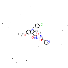 COc1ccc2c(c1)c(C(=O)C(=O)Nc1ncc(-c3cccnc3)o1)c(C)n2Cc1ccc(Cl)cc1